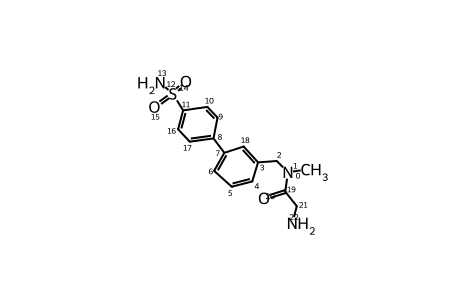 CN(Cc1cccc(-c2ccc(S(N)(=O)=O)cc2)c1)C(=O)CN